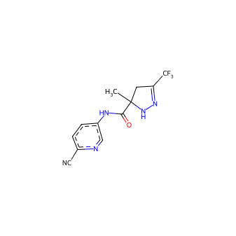 CC1(C(=O)Nc2ccc(C#N)nc2)CC(C(F)(F)F)=NN1